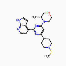 CSN1CCC(c2cc(N3CCOCC3C)nc(-c3ccnc4[nH]ccc34)n2)CC1